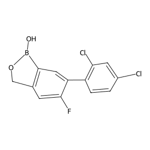 OB1OCc2cc(F)c(-c3ccc(Cl)cc3Cl)cc21